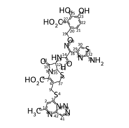 Cc1cc(SCC2=C(C(=O)O)N3C(=O)[C@@H](NC(=O)C(=NOCc4ccc(O)c(O)c4C(=O)O)c4csc(N)n4)[C@H]3SC2)n2nncc2n1